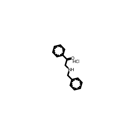 Cl.O=C(CNCc1ccccc1)c1ccccc1